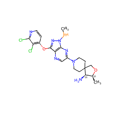 CPn1nc(Oc2ccnc(Cl)c2Cl)c2ncc(N3CCC4(CC3)CO[C@@H](C)[C@H]4N)nc21